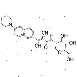 C/C(=C(/C#N)C(=O)N[C@H]1CO[C@H](CO)[C@@H](O)[C@@H]1O)c1ccc2cc(N3CCCCC3)ccc2c1